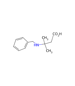 CC(C)(CC(=O)O)NCc1ccccc1